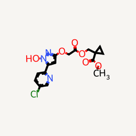 COC(=O)C1(COC(=O)COc2cc(-c3ccc(Cl)cn3)n(O)n2)CC1